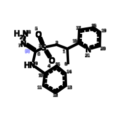 CC(CS(=O)(=O)/C(=N\N)Nc1ccccc1)c1ccccn1